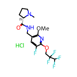 COc1nc(OCC(F)(F)C(F)F)c(F)cc1CNC(=O)[C@@H]1CCCN1C.Cl